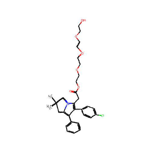 CC1(C)Cc2c(-c3ccccc3)c(-c3ccc(Cl)cc3)c(CC(=O)OCCOCCOCCOCCO)n2C1